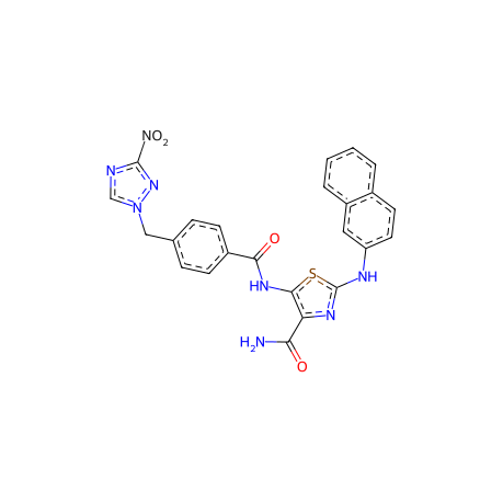 NC(=O)c1nc(Nc2ccc3ccccc3c2)sc1NC(=O)c1ccc(Cn2cnc([N+](=O)[O-])n2)cc1